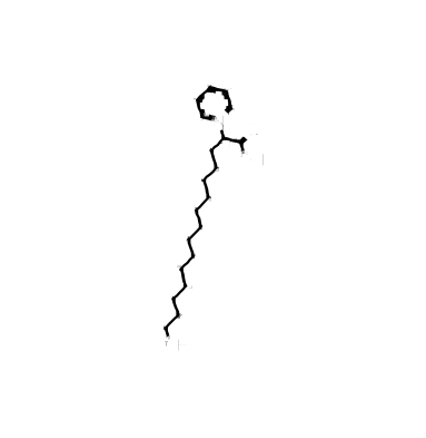 CCCCCCCCCCCCCCC(C(=O)O)[n+]1ccccc1